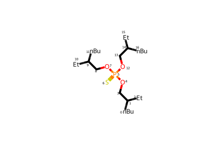 CCCCC(CC)COP(=S)(OCC(CC)CCCC)OCC(CC)CCCC